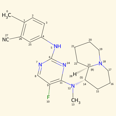 Cc1ccc(Nc2ncc(F)c(N(C)[C@H]3CCCN4CCCC[C@H]34)n2)cc1C#N